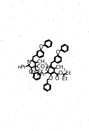 CCCC1=NC(Cc2cccc(Oc3ccccc3)c2)=C(C)C(C(=O)O)(C(CC)CC)C1Oc1ccccc1.CCCc1nc(Cc2cccc(Oc3ccccc3)c2)c(C)c(C(=O)OC(CC)CC)c1OCc1ccccc1